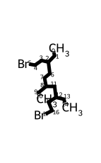 CCC(CCBr)CCC(CC)CC(CC)CCBr